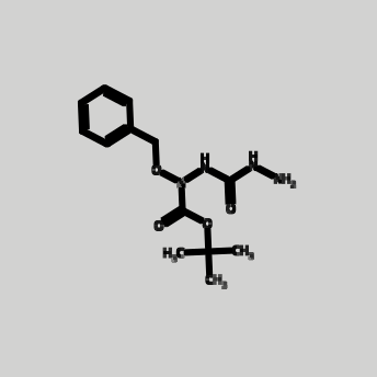 CC(C)(C)OC(=O)N(NC(=O)NN)OCc1ccccc1